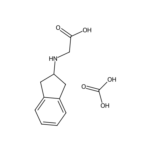 O=C(O)CNC1Cc2ccccc2C1.O=C(O)O